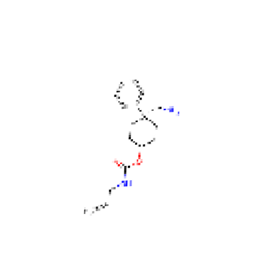 C=CCNC(=O)O[C@H]1CC[C@@](CN)(c2ccccc2)CC1